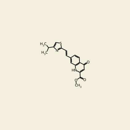 COC(=O)c1cc(=O)c2ccc(C=Cc3nc(C(C)C)cs3)cc2[nH]1